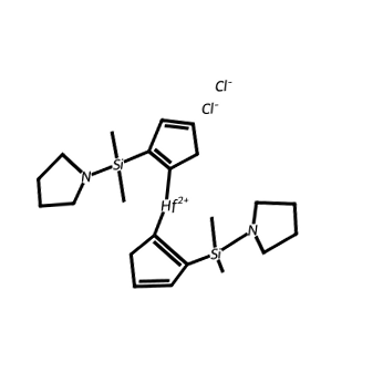 C[Si](C)(C1=[C]([Hf+2][C]2=C([Si](C)(C)N3CCCC3)C=CC2)CC=C1)N1CCCC1.[Cl-].[Cl-]